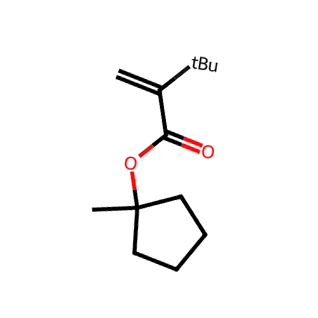 C=C(C(=O)OC1(C)CCCC1)C(C)(C)C